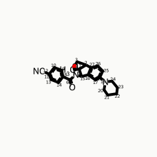 C[C@H]1C2CCN(C(=O)c3ccc(C#N)cc3)C1c1cc(N3CCCCC3)ccc12